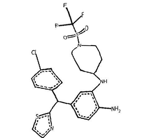 Nc1ccc(C(c2ccc(Cl)cc2)c2nccs2)cc1NC1CCN(S(=O)(=O)C(F)(F)F)CC1